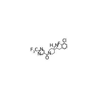 NC(Cc1cccc(Cl)c1F)C1CCN(C(=O)c2cnc(C(F)(F)F)nc2)CC1